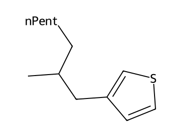 CCCCCCC(C)Cc1ccsc1